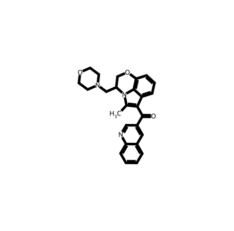 Cc1c(C(=O)c2cnc3ccccc3c2)c2cccc3c2n1C(CN1CCOCC1)CO3